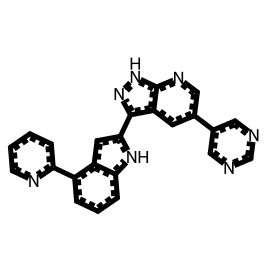 c1ccc(-c2cccc3[nH]c(-c4n[nH]c5ncc(-c6cncnc6)cc45)cc23)nc1